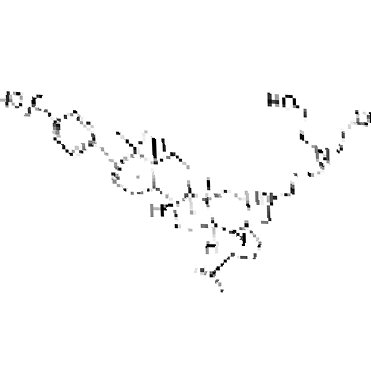 C=C(C)[C@@H]1CC[C@]2(CNCCCN(CCO)CCO)CC[C@]3(C)[C@H](CC[C@@H]4[C@@]5(C)CC=C(c6ccc(C(=O)O)cc6)C(C)(C)[C@@H]5CC[C@]43C)[C@@H]12